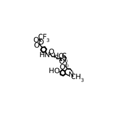 C=C[C@@H](C[C@@H]1Oc2c(O)ccc3c2C1=CCN(C)C3)OC(=O)CCCC(=O)Nc1ccc(C(=O)OC(=O)C(F)(F)F)cc1